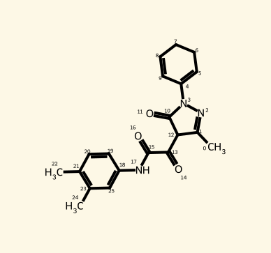 CC1=NN(C2=CCCC=C2)C(=O)C1C(=O)C(=O)Nc1ccc(C)c(C)c1